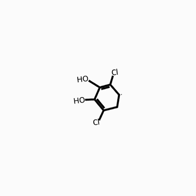 OC1=C(Cl)[CH]CC(Cl)=C1O